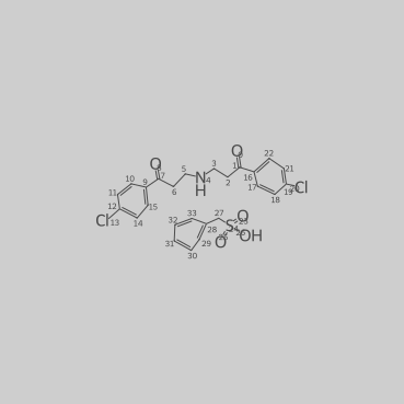 O=C(CCNCCC(=O)c1ccc(Cl)cc1)c1ccc(Cl)cc1.O=S(=O)(O)Cc1ccccc1